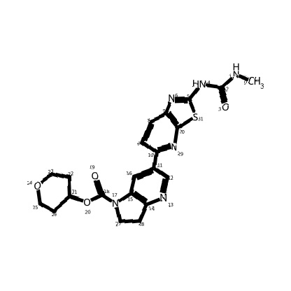 CNC(=O)Nc1nc2ccc(-c3cnc4c(c3)N(C(=O)OC3CCOCC3)CC4)nc2s1